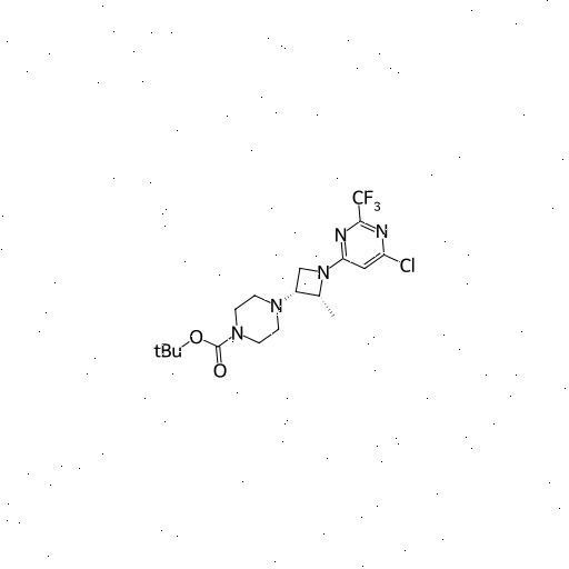 C[C@@H]1[C@H](N2CCN(C(=O)OC(C)(C)C)CC2)CN1c1cc(Cl)nc(C(F)(F)F)n1